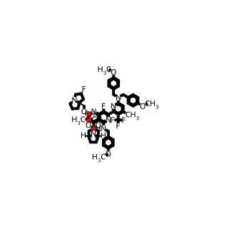 COc1ccc(CNc2nc(-c3nc(N(Cc4ccc(OC)cc4)Cc4ccc(OC)cc4)cc(C)c3C(F)(F)F)c(F)c3nc(OC[C@@]45CCCN4C[C@H](F)C5)nc(N4C[C@H]5CC[C@@H](C4)N5C(=O)OC(C)(C)C)c23)cc1